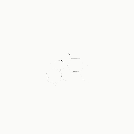 NC1=N[C@](CF)(c2ccccc2F)[C@@H](F)CO1